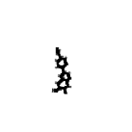 Cc1nc2ccc(-c3ccc(C#N)cc3)cc2cc1O